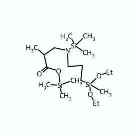 CCO[Si](C)(CCCN(CC(C)C(=O)O[Si](C)(C)C)[Si](C)(C)C)OCC